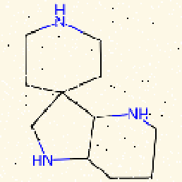 C1CNC2C(C1)NCC21CCNCC1